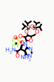 CC(C)[Si]1(C(C)C)OCC2OC(n3cc(C(N)=O)c4c(N)ncnc43)C(OS(=O)(=O)C(F)(F)F)C2O[Si](C(C)C)(C(C)C)O1